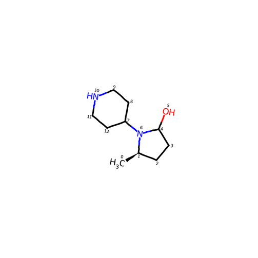 C[C@@H]1CCC(O)N1C1CCNCC1